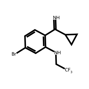 N=C(c1ccc(Br)cc1NCC(F)(F)F)C1CC1